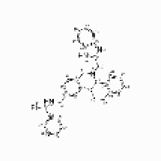 CCC(NCc1ccc(CN(Cc2nc3ccccc3[nH]2)C2CCCc3cccnc32)cc1)c1cccnc1